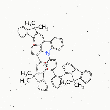 CC1(C)c2ccccc2-c2ccc(-c3ccccc3N(c3ccc(-c4ccccc4-c4cccc5c4C(C)(C)c4ccccc4-5)cc3)c3ccccc3-c3ccc4c(c3)C(C)(C)c3ccccc3-4)cc21